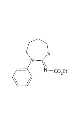 CCOC(=O)/N=C1\SCCCCN1c1ccccc1